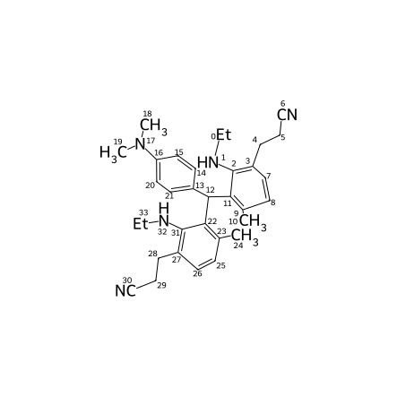 CCNc1c(CCC#N)ccc(C)c1C(c1ccc(N(C)C)cc1)c1c(C)ccc(CCC#N)c1NCC